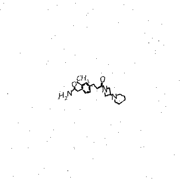 CCc1cc(C[CH]C(=O)N2CC(N3CCCCC3)C2)ccc1CC(N)=O